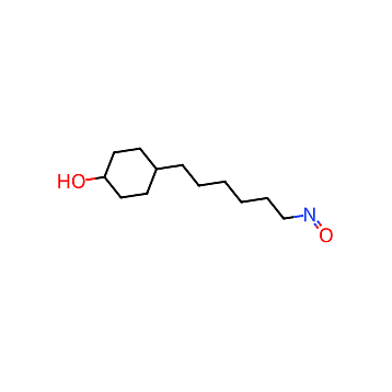 O=NCCCCCCC1CCC(O)CC1